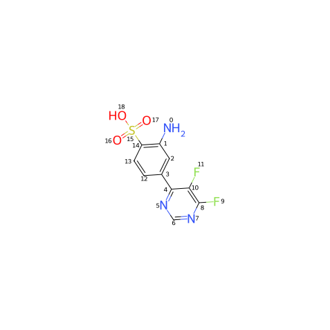 Nc1cc(-c2ncnc(F)c2F)ccc1S(=O)(=O)O